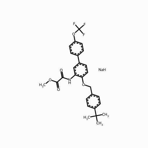 COC(=O)C(=O)Nc1cc(-c2ccc(OC(F)(F)F)cc2)ccc1OCc1ccc(C(C)(C)C)cc1.[NaH]